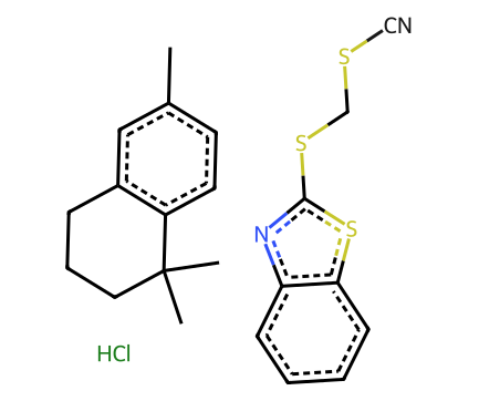 Cc1ccc2c(c1)CCCC2(C)C.Cl.N#CSCSc1nc2ccccc2s1